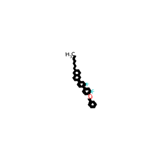 CCCCCCCC1CCC2CC(c3ccc(-c4ccc(OCc5ccccc5)c(F)c4)c(F)c3)CCC2C1